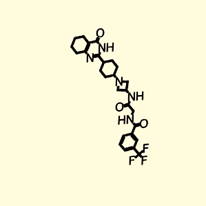 O=C(CNC(=O)c1cccc(C(F)(F)F)c1)NC1CN(C2CCC(c3nc4c(c(=O)[nH]3)CCCC4)CC2)C1